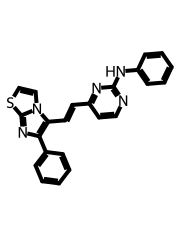 C(=C\c1c(-c2ccccc2)nc2sccn12)/c1ccnc(Nc2ccccc2)n1